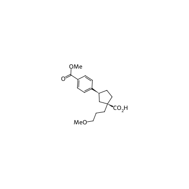 COCCC[C@@]1(C(=O)O)CC[C@H](c2ccc(C(=O)OC)cc2)C1